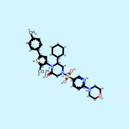 Cc1ccc(-c2cc(N3C(=O)CN(S(=O)(=O)c4ccc(N5CCOCC5)nc4)CC3C3CCCCC3)c(C(=O)O)s2)cc1